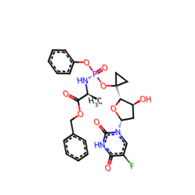 C[C@H](N[P@@](=O)(Oc1ccccc1)OC1([C@H]2O[C@@H](n3cc(F)c(=O)[nH]c3=O)C[C@@H]2O)CC1)C(=O)OCc1ccccc1